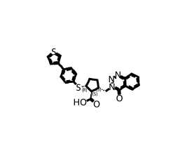 O=C(O)[C@@H]1[C@@H](Cn2nnc3ccccc3c2=O)CC[C@H]1Sc1ccc(-c2ccsc2)cc1